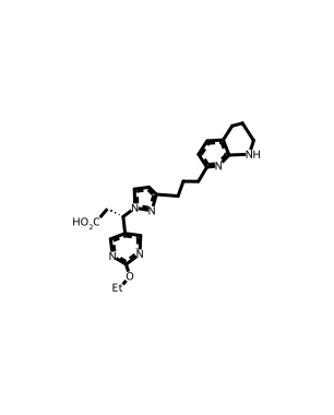 CCOc1ncc([C@H](CC(=O)O)n2ccc(CCCc3ccc4c(n3)NCCC4)n2)cn1